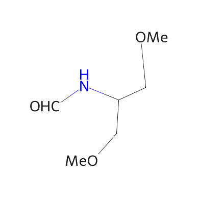 COCC(COC)NC=O